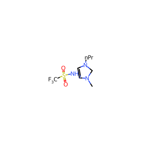 CCCN1C=CN(C)C1.NS(=O)(=O)C(F)(F)F